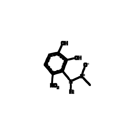 CCN(c1c([N+](=O)[O-])ccc(O)c1O)[S+](C)[O-]